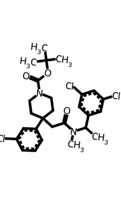 CC(c1cc(Cl)cc(Cl)c1)N(C)C(=O)CC1(c2cccc(Cl)c2)CCN(C(=O)OC(C)(C)C)CC1